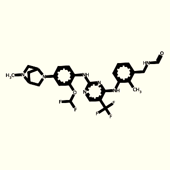 Cc1c(CNC=O)cccc1Nc1nc(Nc2ccc(N3CC4CC3CN4C)cc2OC(F)F)ncc1C(F)(F)F